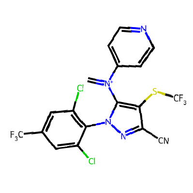 C=[N+](c1ccncc1)c1c(SC(F)(F)F)c(C#N)nn1-c1c(Cl)cc(C(F)(F)F)cc1Cl